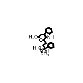 CCC(CCC1OC(C)Cc2c1[nH]c1ccccc21)(c1ccccc1)N(C)C